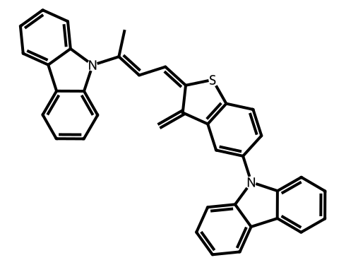 C=c1/c(=C\C=C(/C)n2c3ccccc3c3ccccc32)sc2ccc(-n3c4ccccc4c4ccccc43)cc12